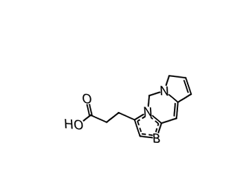 O=C(O)CCc1cbc2n1CN1CC=CC1=C2